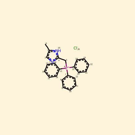 Cc1cnc(C[P+](c2ccccc2)(c2ccccc2)c2ccccc2)[nH]1.[Cl-]